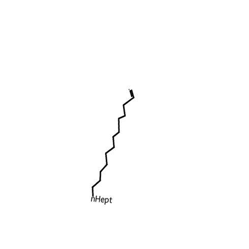 [CH]=CCCCCCCCCCCCCCCCCC[CH2]